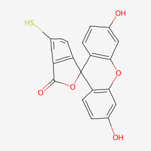 O=C1OC2(c3ccc(O)cc3Oc3cc(O)ccc32)c2ccc(S)cc21